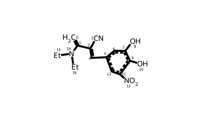 C=C(/C(C#N)=C/c1cc(O)c(O)c([N+](=O)[O-])c1)N(CC)CC